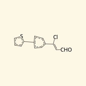 O=CC=C(Cl)c1ccc(-c2cccs2)cc1